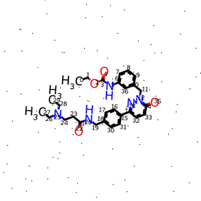 CCOC(=O)Nc1cccc(Cn2nc(-c3ccc(CNC(=O)CCN(CC)CC)cc3)ccc2=O)c1